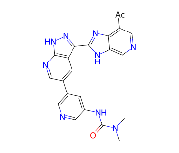 CC(=O)c1cncc2[nH]c(-c3n[nH]c4ncc(-c5cncc(NC(=O)N(C)C)c5)cc34)nc12